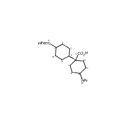 CCCCCC1CCC(C2(C(=O)O)CCC(CCC)CC2)CC1